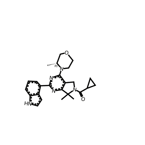 C[C@@H]1COCCN1c1nc(-c2cccc3[nH]ccc23)nc2c1CN(C(=O)C1CC1)C2(C)C